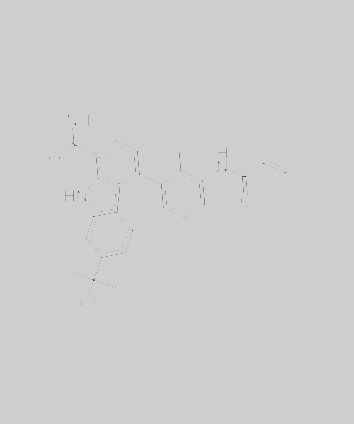 CC=CC(=O)Nc1cccc(-c2ccc(C(N)=O)c3[nH]c4cc(C(C)(C)O)ccc4c23)c1C